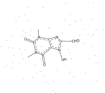 CCCn1c(C=O)nc2c1c(=O)n(C)c(=O)n2C